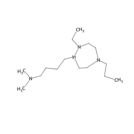 CCCN1CC[N](CC)[In]([CH2]CCCN(C)C)[CH2]C1